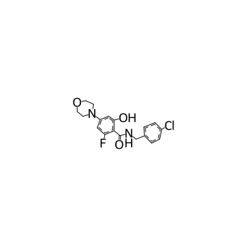 O=C(NCc1ccc(Cl)cc1)c1c(O)cc(N2CCOCC2)cc1F